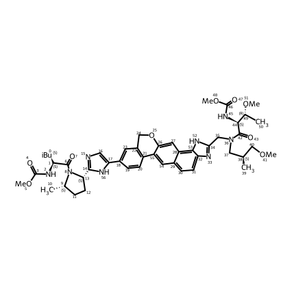 CC[C@H](C)[C@H](NC(=O)OC)C(=O)N1[C@@H](C)CC[C@H]1c1ncc(-c2ccc3c(c2)COc2cc4c(ccc5nc(CN(C[C@H](C)COC)C(=O)[C@@H](NC(=O)OC)[C@@H](C)OC)[nH]c54)cc2-3)[nH]1